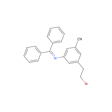 N#Cc1cc(CCBr)cc(N=C(c2ccccc2)c2ccccc2)c1